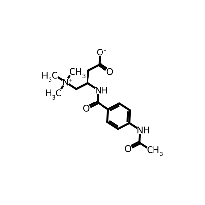 CC(=O)Nc1ccc(C(=O)N[C@H](CC(=O)[O-])C[N+](C)(C)C)cc1